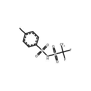 Cc1ccc(S(=O)(=O)NS(=O)(=O)C(F)(F)C(F)(F)F)cc1